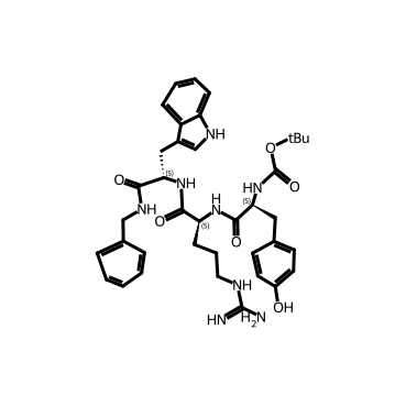 CC(C)(C)OC(=O)N[C@@H](Cc1ccc(O)cc1)C(=O)N[C@@H](CCCNC(=N)N)C(=O)N[C@@H](Cc1c[nH]c2ccccc12)C(=O)NCc1ccccc1